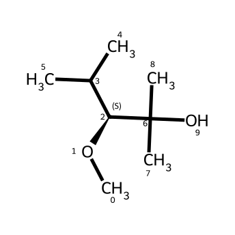 CO[C@@H](C(C)C)C(C)(C)O